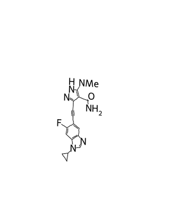 CNc1[nH]nc(C#Cc2cc3ncn(C4CC4)c3cc2F)c1C(N)=O